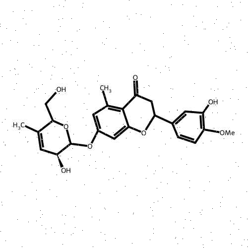 COc1ccc(C2CC(=O)c3c(C)cc(OC4OC(CO)C(C)=C[C@@H]4O)cc3O2)cc1O